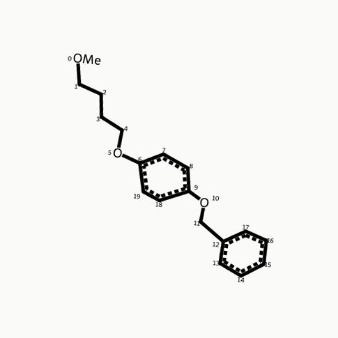 COCCCCOc1ccc(OCc2ccccc2)cc1